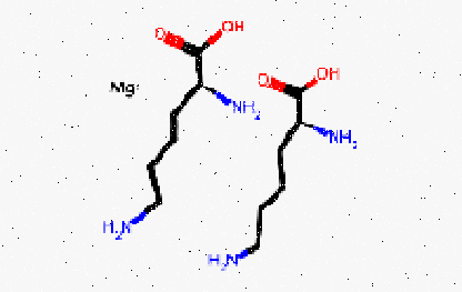 NCCCC[C@H](N)C(=O)O.NCCCC[C@H](N)C(=O)O.[Mg]